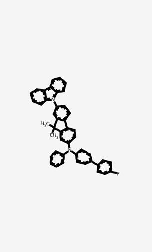 CC1(C)c2cc(N(c3ccccc3)c3ccc(-c4ccc(F)cc4)cc3)ccc2-c2ccc(-n3c4ccccc4c4ccccc43)cc21